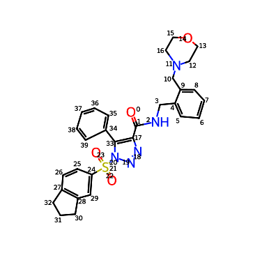 O=C(NCc1ccccc1CN1CCOCC1)c1nnn(S(=O)(=O)c2ccc3c(c2)CCC3)c1-c1ccccc1